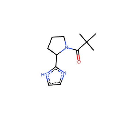 CC(C)(C)C(=O)N1CCCC1c1ncc[nH]1